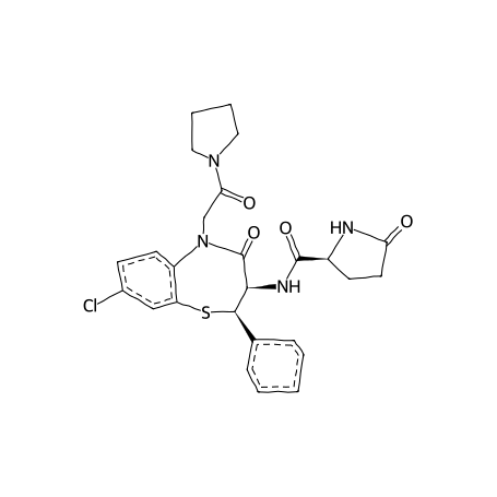 O=C1CC[C@@H](C(=O)N[C@@H]2C(=O)N(CC(=O)N3CCCC3)c3ccc(Cl)cc3S[C@@H]2c2ccccc2)N1